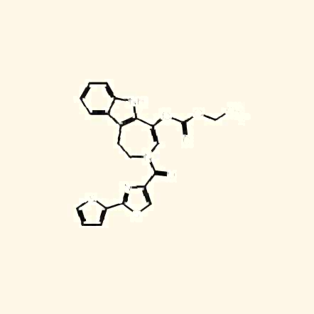 CCOC(=O)OC1=CN(C(=O)c2csc(-c3cccs3)n2)CCc2c1[nH]c1ccccc21